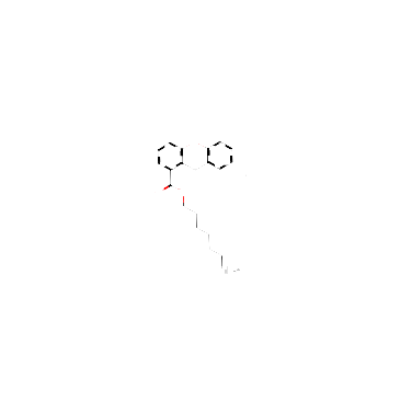 CCCCCCCCCCCCCCCCOC(=O)c1cccc2c1Cc1ccccc1O2.[Zn]